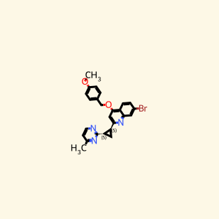 COc1ccc(COc2cc([C@H]3C[C@@H]3c3nccc(C)n3)nc3cc(Br)ccc23)cc1